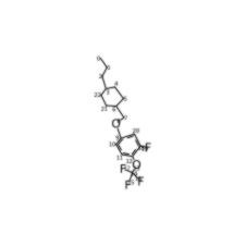 CCCC1CCC(COc2ccc(OC(F)(F)F)c(F)c2)CC1